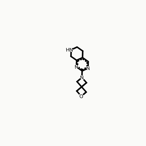 c1nc(N2CC3(COC3)C2)nc2c1CCNC2